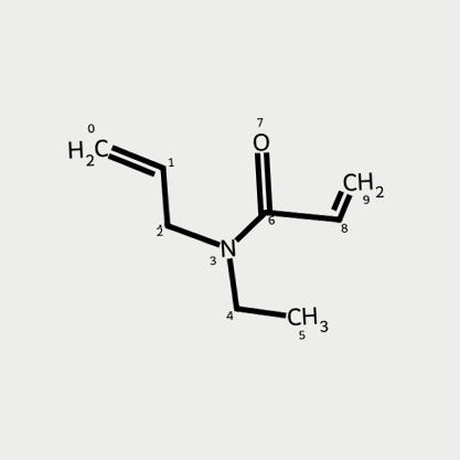 C=C[CH]N(CC)C(=O)C=C